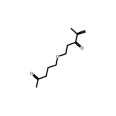 C=C(C)C(=O)CCOCCCC(C)=O